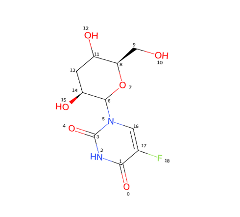 O=c1[nH]c(=O)n(C2O[C@H](CO)C(O)C[C@@H]2O)cc1F